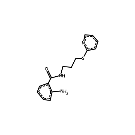 Nc1ccccc1C(=O)NCCCSc1ccccn1